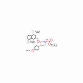 C=CCOc1ccc(C2CCN(OC(=O)OC(C)(C)C)CC2OCc2cc(OC)c3ccccc3c2OC)cc1